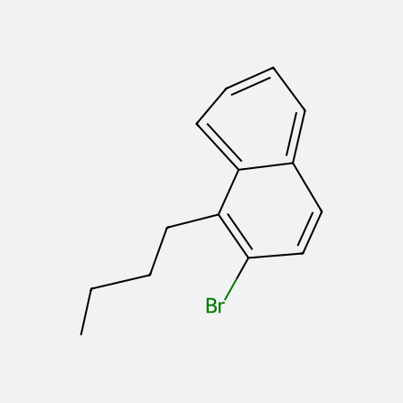 CCCCc1c(Br)ccc2ccccc12